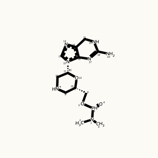 CN(C)[PH](=O)OC[C@@H]1CNC[C@H](n2cnc3c2N=C(N)NC3)O1